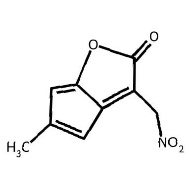 CC1=CC2=C(C[N+](=O)[O-])C(=O)OC2=C1